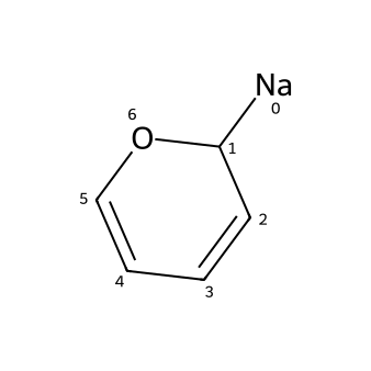 [Na][CH]1C=CC=CO1